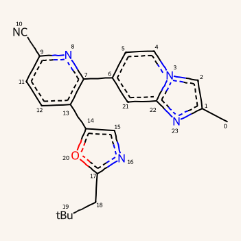 Cc1cn2ccc(-c3nc(C#N)ccc3-c3cnc(CC(C)(C)C)o3)cc2n1